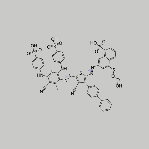 Cc1c(C#N)c(Nc2ccc(S(=O)(=O)O)cc2)nc(Nc2ccc(S(=O)(=O)O)cc2)c1/N=N/c1sc(/N=N/c2cc(SOOO)c3cccc(S(=O)(=O)O)c3c2)c(-c2ccc(-c3ccccc3)cc2)c1C#N